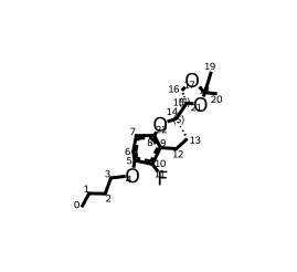 CCCCOc1ccc2c(c1F)CC[C@@H]([C@@H]1COC(C)(C)O1)O2